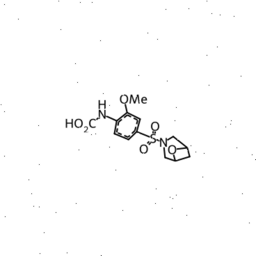 COc1cc(S(=O)(=O)N2CC3CC(C2)O3)ccc1NC(=O)O